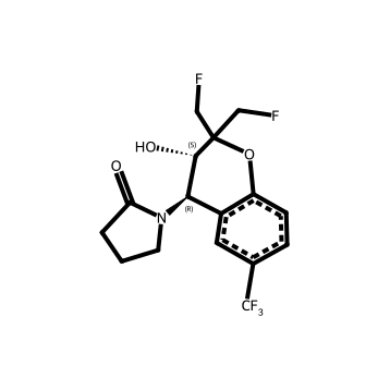 O=C1CCCN1[C@@H]1c2cc(C(F)(F)F)ccc2OC(CF)(CF)[C@H]1O